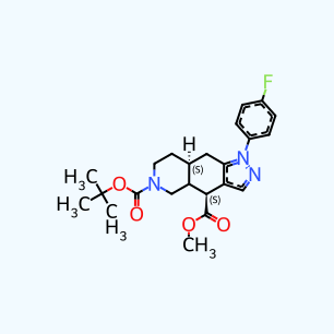 COC(=O)[C@@H]1c2cnn(-c3ccc(F)cc3)c2C[C@@H]2CCN(C(=O)OC(C)(C)C)CC21